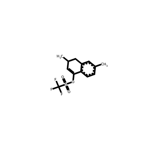 Cc1ccc2c(c1)CC(C)C=C2OS(=O)(=O)C(F)(F)F